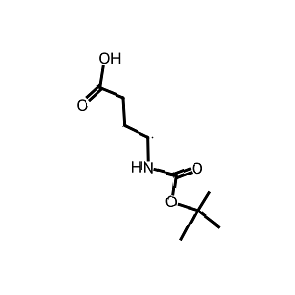 CC(C)(C)OC(=O)N[CH]CCC(=O)O